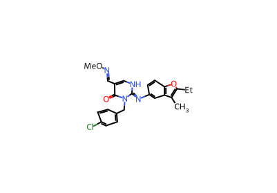 CCc1oc2ccc(/N=c3\[nH]cc(C=NOC)c(=O)n3Cc3ccc(Cl)cc3)cc2c1C